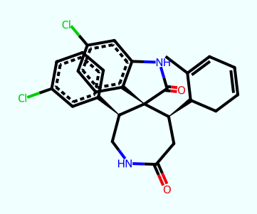 CC1=CC=CCC1[C@H]1CC(=O)NC[C@@H](c2cccc(Cl)c2)[C@]12C(=O)Nc1cc(Cl)ccc12